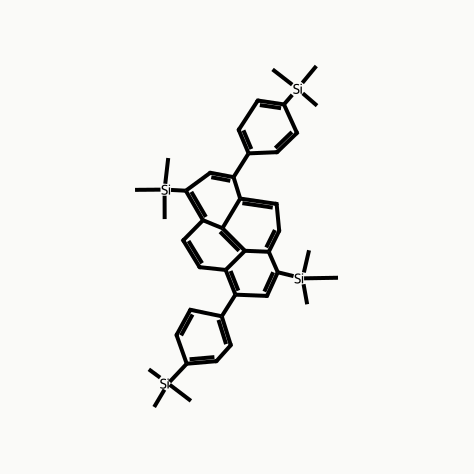 C[Si](C)(C)c1ccc(-c2cc([Si](C)(C)C)c3ccc4c(-c5ccc([Si](C)(C)C)cc5)cc([Si](C)(C)C)c5ccc2c3c45)cc1